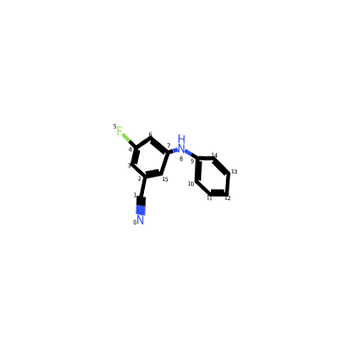 N#Cc1cc(F)cc(Nc2ccccc2)c1